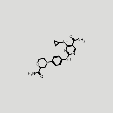 NC(=O)c1cnc(Nc2ccc(N3CCOC(C(N)=O)C3)cc2)nc1NC1CC1